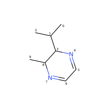 CC(C)C1N=CC=NC1C